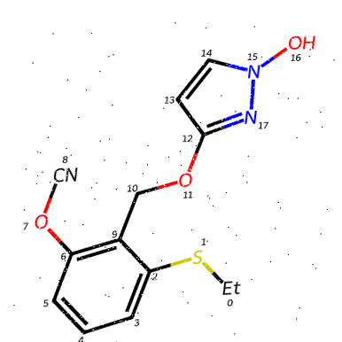 CCSc1cccc(OC#N)c1COc1ccn(O)n1